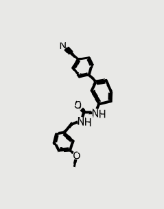 COc1cccc(CNC(=O)Nc2cccc(-c3ccc(C#N)cc3)c2)c1